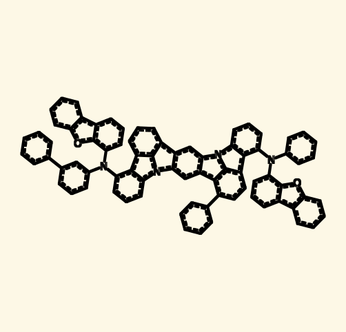 c1ccc(-c2cccc(N(c3cccc4c3oc3ccccc34)c3cccc4c3c3cccc5c6cc7c(cc6n4c53)c3c(-c4ccccc4)ccc4c5c(N(c6ccccc6)c6cccc8c6oc6ccccc68)cccc5n7c43)c2)cc1